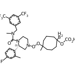 BC1(OC(=O)O)CCCC(C)(OON2CCN(C(=O)N(C)Cc3cc(C(F)(F)F)cc(C(F)(F)F)c3)[C@@H](c3ccc(F)cc3C)C2)CCC1